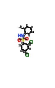 [CH2]c1ccccc1NS(=O)(=O)c1ccc(Cl)cc1Cl